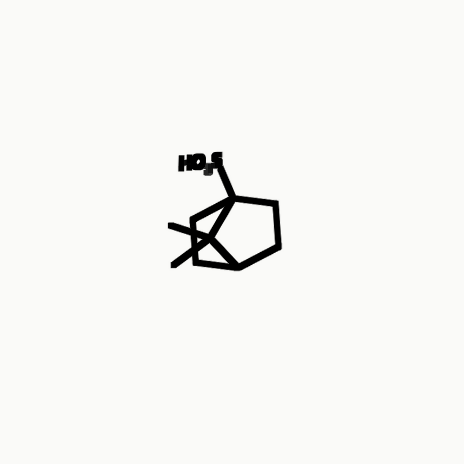 CC1(C)C2CCC1(S(=O)(=O)O)CC2